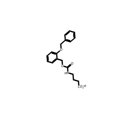 O=C(O)CCCNC(=O)OCc1ccccc1OCc1ccccc1